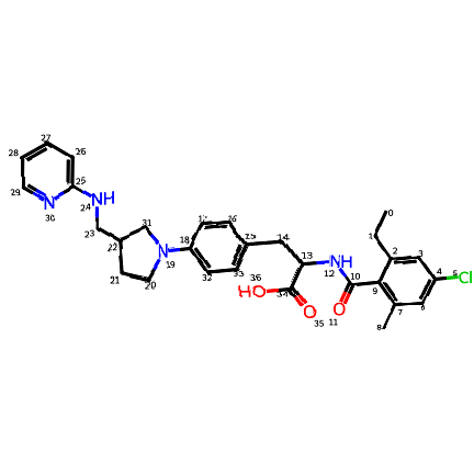 CCc1cc(Cl)cc(C)c1C(=O)NC(Cc1ccc(N2CCC(CNc3ccccn3)C2)cc1)C(=O)O